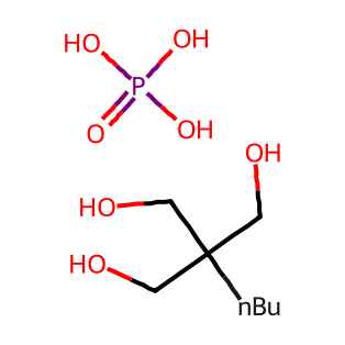 CCCCC(CO)(CO)CO.O=P(O)(O)O